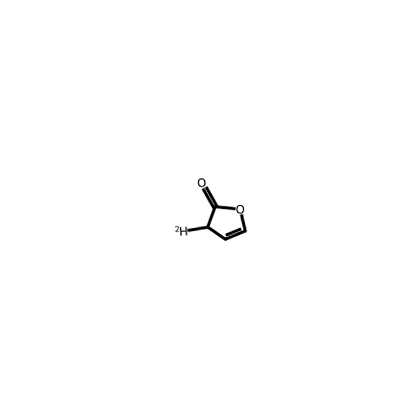 [2H]C1C=COC1=O